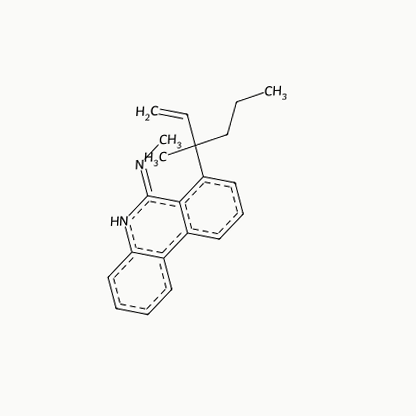 C=CC(C)(CCC)c1cccc2c1/c(=N\C)[nH]c1ccccc12